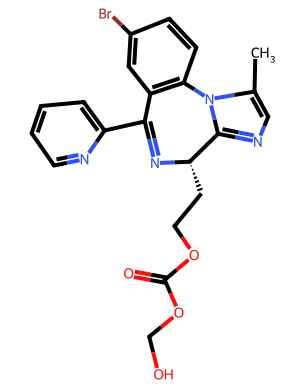 Cc1cnc2n1-c1ccc(Br)cc1C(c1ccccn1)=N[C@H]2CCOC(=O)OCO